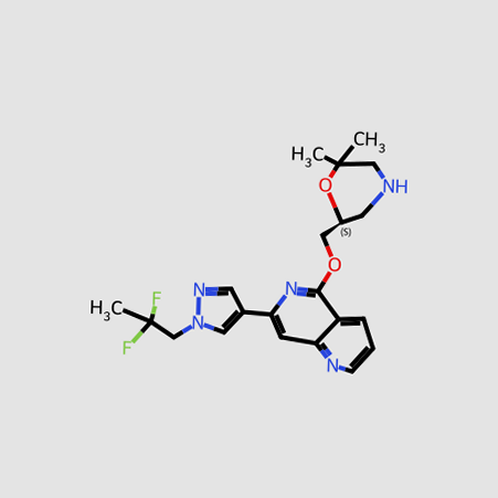 CC(F)(F)Cn1cc(-c2cc3ncccc3c(OC[C@@H]3CNCC(C)(C)O3)n2)cn1